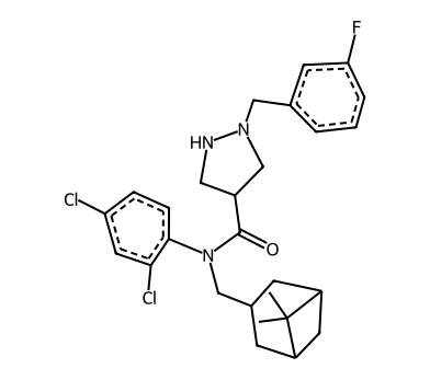 CC1(C)C2CC(CN(C(=O)C3CNN(Cc4cccc(F)c4)C3)c3ccc(Cl)cc3Cl)CC1C2